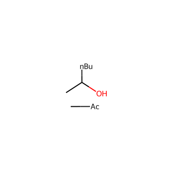 CC(C)=O.CCCCC(C)O